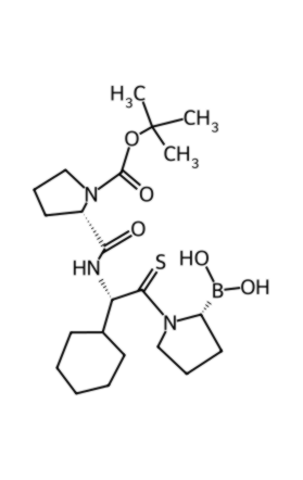 CC(C)(C)OC(=O)N1CCC[C@H]1C(=O)N[C@H](C(=S)N1CCC[C@H]1B(O)O)C1CCCCC1